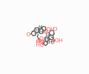 C[C@]12CC[C@@H]3[C@@H](CCC4=CC(=O)CC(OC5(O)CC[C@H]6[C@@H]7CCC8=CC(=O)CC[C@]8(CCC(=O)O)[C@@H]7CC[C@@]65C)[C@@]43CCC(=O)O)[C@@H]1CCC2(O)O